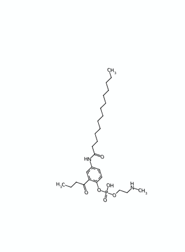 CCCCCCCCCCCCCC(=O)Nc1ccc(OP(=O)(O)OCCNC)c(C(=O)CCC)c1